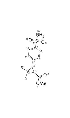 COC(=O)[C@@H]1[C@@H](c2ccc(S(N)(=O)=O)cc2)C1(C)C